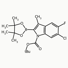 Cc1c(B2OC(C)(C)C(C)(C)O2)n(C(=O)OC(C)(C)C)c2cc(Cl)c(F)cc12